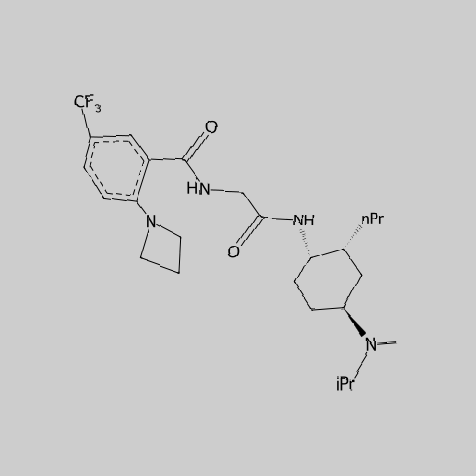 CCC[C@@H]1C[C@@H](N(C)C(C)C)CC[C@@H]1NC(=O)CNC(=O)c1cc(C(F)(F)F)ccc1N1CCC1